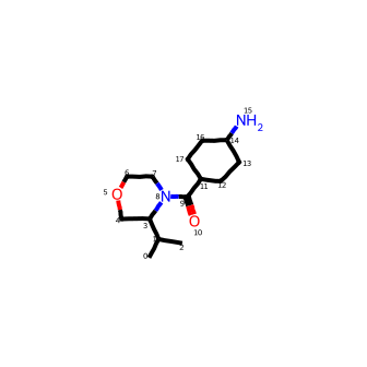 CC(C)C1COCCN1C(=O)C1CCC(N)CC1